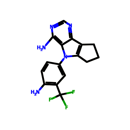 Nc1ccc(-n2c3c(c4ncnc(N)c42)CCC3)cc1C(F)(F)F